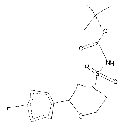 CC(C)(C)OC(=O)NS(=O)(=O)N1CCOC(c2ccc(F)cc2)C1